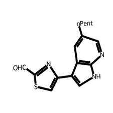 CCCCCc1cnc2[nH]cc(-c3csc(C=O)n3)c2c1